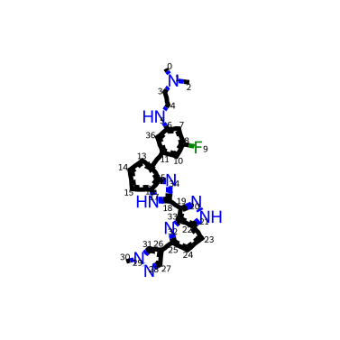 CN(C)CCNc1cc(F)cc(-c2cccc3[nH]c(-c4n[nH]c5ccc(-c6cnn(C)c6)nc45)nc23)c1